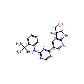 BC(B)(B)c1ccccc1Nc1nccc(-c2cnc3c(c2)C(C)(CO)CN3)n1